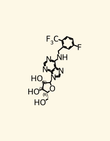 OC[C@H]1OC(n2cnc3c(NCc4cc(F)ccc4C(F)(F)F)ncnc32)[C@H](O)[C@@H]1O